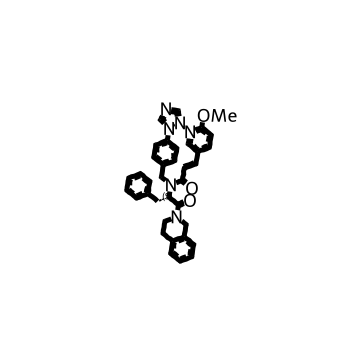 COc1ccc(C=CC(=O)N(Cc2ccc(-n3cncn3)cc2)[C@@H](Cc2ccccc2)C(=O)N2CCc3ccccc3C2)cn1